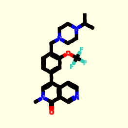 CC(C)N1CCN(Cc2ccc(-c3cn(C)c(=O)c4cnccc34)cc2OC(F)(F)F)CC1